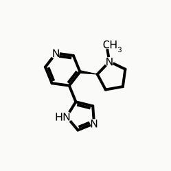 CN1CCC[C@H]1c1cnccc1-c1cnc[nH]1